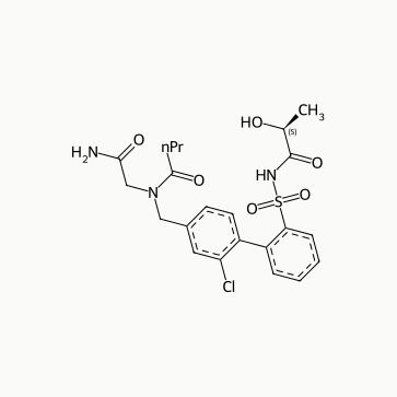 CCCC(=O)N(CC(N)=O)Cc1ccc(-c2ccccc2S(=O)(=O)NC(=O)[C@H](C)O)c(Cl)c1